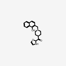 O=C(C1CCN(Cc2ccc3ccccc3c2O)CC1)C1NC=CO1